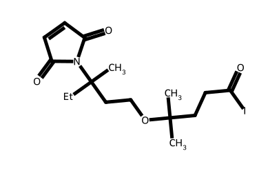 CCC(C)(CCOC(C)(C)CCC(=O)I)N1C(=O)C=CC1=O